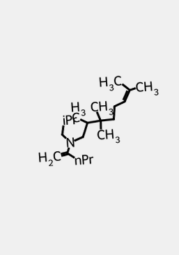 C=C(CCC)N(CC(C)C)CC(C)C(C)(C)CCC=C(C)C